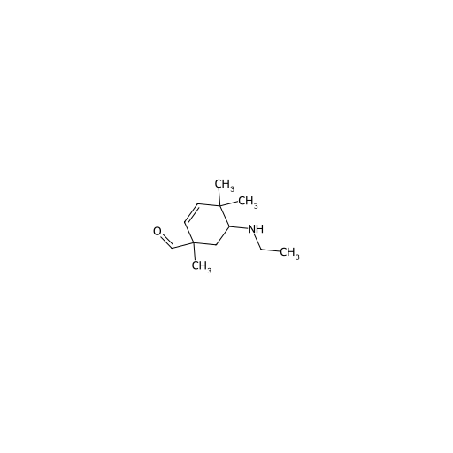 CCNC1CC(C)(C=O)C=CC1(C)C